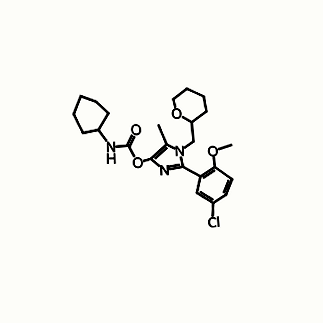 COc1ccc(Cl)cc1-c1nc(OC(=O)NC2CCCCC2)c(C)n1CC1CCCCO1